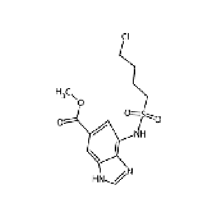 COC(=O)c1cc(NS(=O)(=O)CCCCCl)c2nc[nH]c2c1